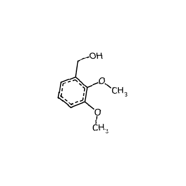 COc1cccc(CO)c1OC